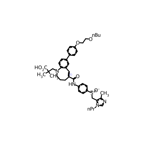 CCCCOCCOc1ccc(-c2ccc3c(c2)/C=C(/C(=O)Nc2ccc([S@@+]([O-])Cc4c(C)ncn4CCC)cc2)CCCN3CC(C)(C)C(=O)O)cc1